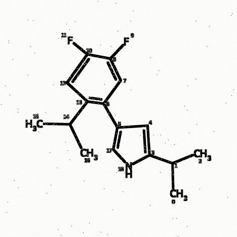 CC(C)c1cc(-c2cc(F)c(F)cc2C(C)C)c[nH]1